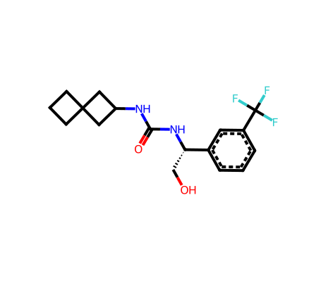 O=C(NC1CC2(CCC2)C1)N[C@@H](CO)c1cccc(C(F)(F)F)c1